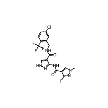 Cn1cc(C(=O)Nc2n[nH]cc2C(=O)NCc2cc(Cl)ccc2C(F)(F)F)c(F)n1